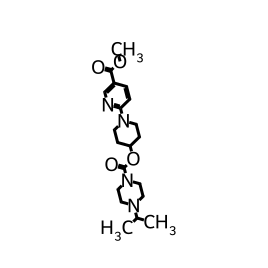 COC(=O)c1ccc(N2CCC(OC(=O)N3CCN(C(C)C)CC3)CC2)nc1